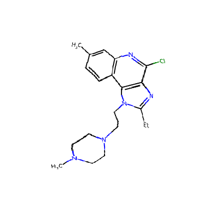 CCc1nc2c(Cl)nc3cc(C)ccc3c2n1CCN1CCN(C)CC1